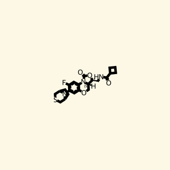 O=C(NC[C@@H]1OC(=O)N2c3cc(F)c(N4C5CCC4CSC5)cc3OC[C@@H]12)C1CCC1